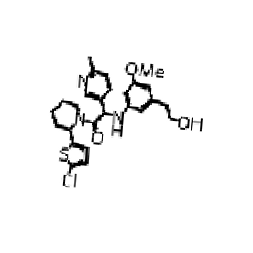 COc1cc(CCO)cc(NC(C(=O)N2CCCCC2c2ccc(Cl)s2)c2ccc(C)nc2)c1